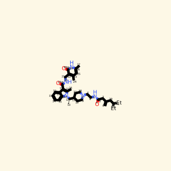 C=C(CC(=O)NCCN1CCC([C@H](C)n2c(C)c(C(=O)NCc3c(C)cc(C)[nH]c3=O)c3ccccc32)CC1)CC(CC)CC